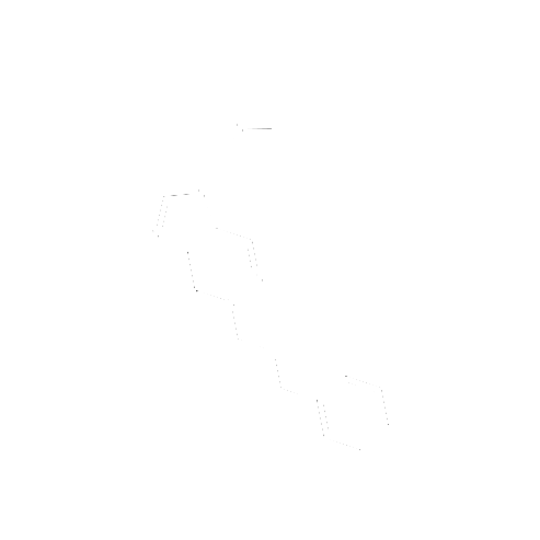 CN(C)S(=O)(=O)n1cnc2c(=O)n(COCc3ccccc3)ncc21